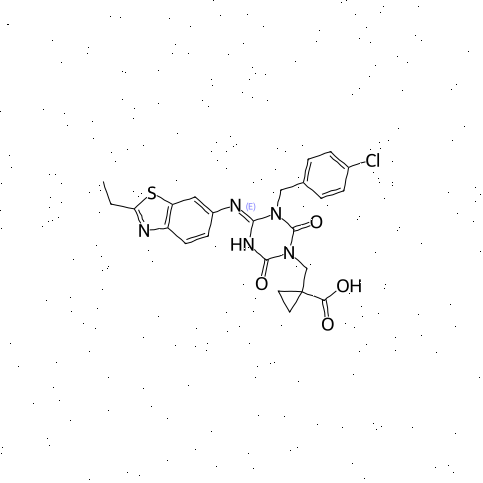 CCc1nc2ccc(/N=c3\[nH]c(=O)n(CC4(C(=O)O)CC4)c(=O)n3Cc3ccc(Cl)cc3)cc2s1